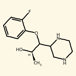 C[C@@H](O)C(Oc1ccccc1F)C1CNCCN1